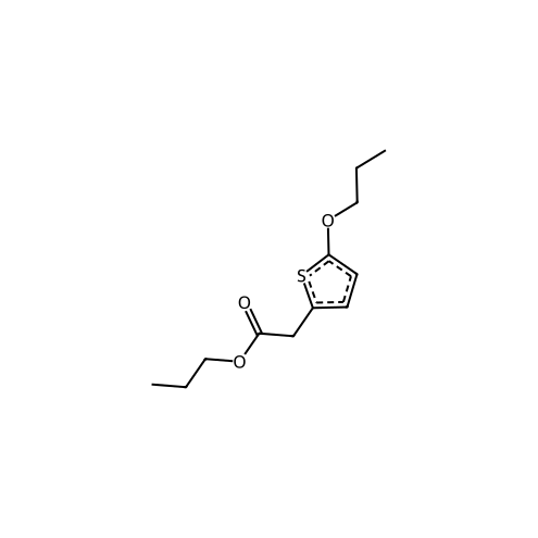 CCCOC(=O)Cc1ccc(OCCC)s1